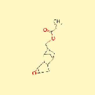 C=CC(=O)OCC1CC2CC1C1C2CC2OC21